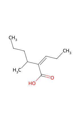 CCC=C(C(=O)O)C(C)CCC